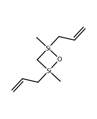 C=CC[Si]1(C)C[Si](C)(CC=C)O1